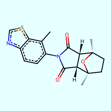 Cc1c(N2C(=O)[C@@H]3[C@H](C2=O)[C@@]2(C)CC[C@]3(C)O2)ccc2ncsc12